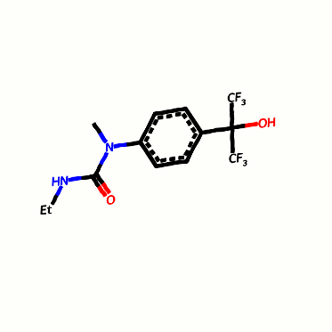 CCNC(=O)N(C)c1ccc(C(O)(C(F)(F)F)C(F)(F)F)cc1